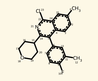 Cc1ccc2c(-c3ccc(F)c(C)c3)c(C3CCOCC3)nc(Cl)c2c1